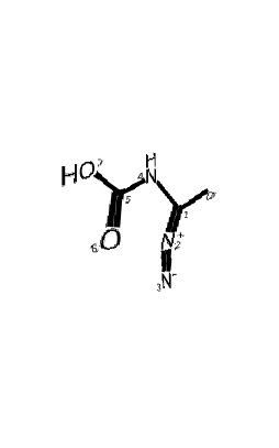 CC(=[N+]=[N-])NC(=O)O